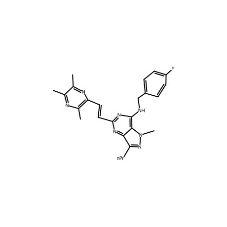 CCCc1nn(C)c2c(NCc3ccc(F)cc3)nc(C=Cc3nc(C)c(C)nc3C)nc12